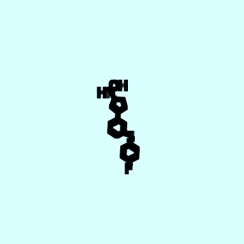 ONC1C=C(c2cccc(Sc3ccc(F)cc3)c2)CC1